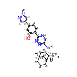 CN(c1cnc(-c2ccc(-c3cnn(C)c3)cc2O)nn1)[C@H]1C[C@@H]2CCC[C@@H](C2)[C@H]1C(F)(F)F